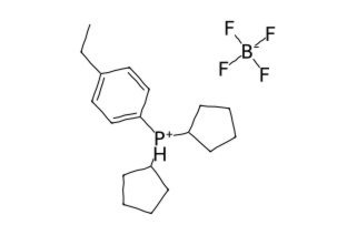 CCc1ccc([PH+](C2CCCC2)C2CCCC2)cc1.F[B-](F)(F)F